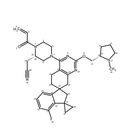 C=CC(=O)N1CCN(c2nc(OC[C@@H]3CCCN3C)nc3c2CCC2(C3)CC3(CC3)c3c(F)cccc32)C[C@@H]1CC#N